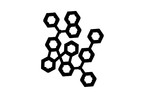 c1ccc(-c2ccc(N(c3ccccc3)c3cccc4c3-c3ccccc3C43c4ccccc4-c4ccc(N(c5ccccc5)c5cccc6ccccc56)cc43)cc2)cc1